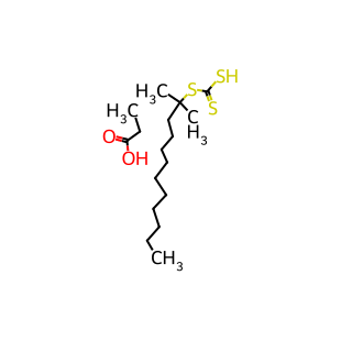 CCC(=O)O.CCCCCCCCCCC(C)(C)SC(=S)S